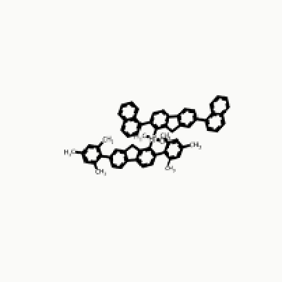 Cc1cc(C)c(-c2ccc3c(c2)Cc2c-3ccc(-c3c(C)cc(C)cc3C)[c]2[Hf]([CH3])([CH3])[c]2c(-c3cccc4ccccc34)ccc3c2Cc2cc(-c4cccc5ccccc45)ccc2-3)c(C)c1